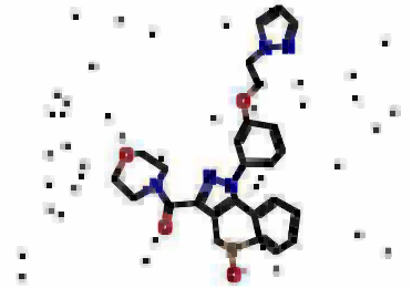 O=C(c1nn(-c2cccc(OCCn3cccn3)c2)c2c1C[S+]([O-])c1ccccc1-2)N1CCOCC1